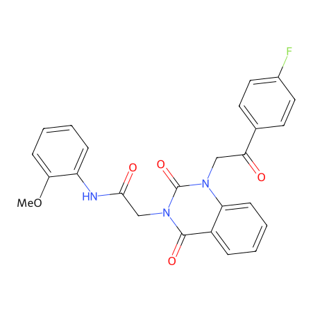 COc1ccccc1NC(=O)Cn1c(=O)c2ccccc2n(CC(=O)c2ccc(F)cc2)c1=O